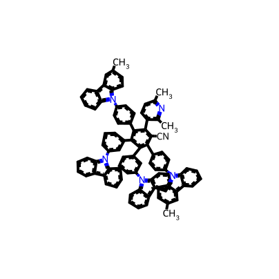 Cc1ccc2c(c1)c1ccccc1n2-c1ccc(-c2c(C#N)c(-c3ccc(C)nc3C)c(-c3ccc(-n4c5ccccc5c5cc(C)ccc54)cc3)c(-c3cccc(-n4c5ccccc5c5ccccc54)c3)c2-c2cccc(-n3c4ccccc4c4ccccc43)c2)cc1